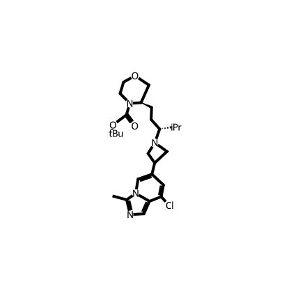 Cc1ncc2c(Cl)cc(C3CN([C@H](CC[C@@H]4COCCN4C(=O)OC(C)(C)C)C(C)C)C3)cn12